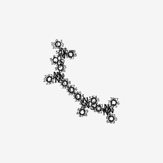 c1ccc(-c2cc(-c3cccc4c3sc3ccc(-c5nc(-c6ccccc6)nc(-c6ccc(-c7ccc(-c8ccc(-c9cc(-c%10ccccc%10)nc(-c%10cccc%11c%10sc%10ccc(-c%12nc(-c%13ccccc%13)nc(-c%13ccccc%13)n%12)cc%10%11)n9)cc8)cc7)cc6)n5)cc34)nc(-c3ccccc3)n2)cc1